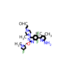 Cc1cc(N)nc(-c2c(F)cc3c(N4CCN(C=CC=O)C[C@@H]4C)nc(OC[C@@H]4C[C@@H](F)CN4C)nc3c2F)c1C(F)(F)F